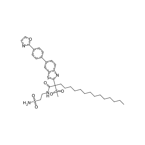 CCCCCCCCCCCCCCC(C(=O)NCCS(N)(=O)=O)(c1nc2ccc(-c3ccc(-c4ncco4)cc3)cc2s1)S(C)(=O)=O